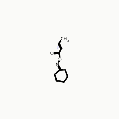 C/C=C/C(=O)ON=C1CCCCC1